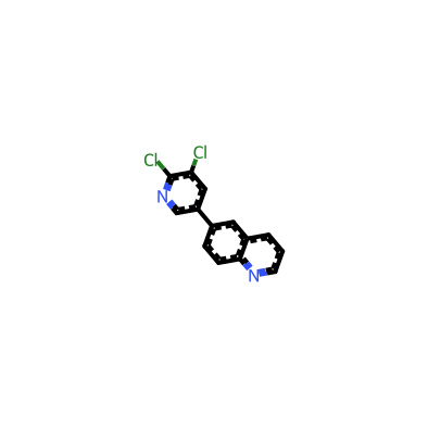 Clc1cc(-c2ccc3ncccc3c2)cnc1Cl